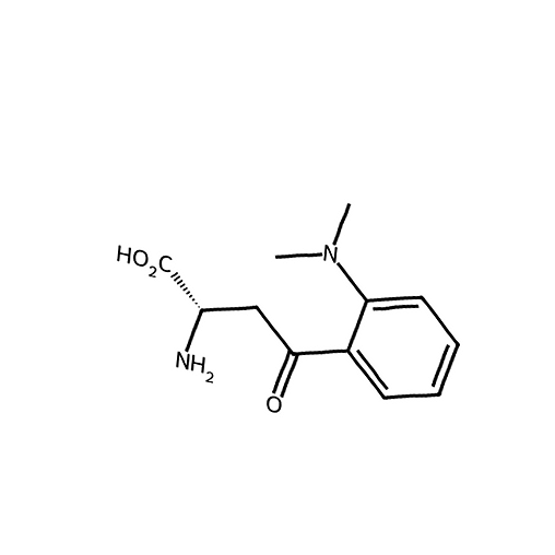 CN(C)c1ccccc1C(=O)C[C@H](N)C(=O)O